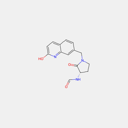 O=CN[C@H]1CCN(Cc2ccc3ccc(O)nc3c2)C1=O